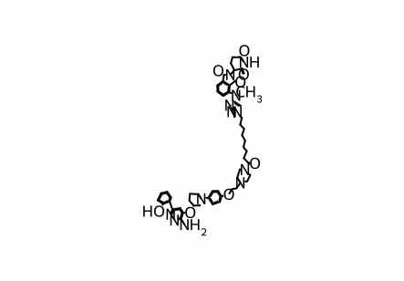 CN(c1cn(CCCCCCCCC(=O)N2CCN(CCOc3ccc(N4CCCC(Oc5cc(-c6ccccc6O)nnc5N)C4)cc3)CC2)nn1)c1cccc2c1C(=O)N(C1CCC(=O)NC1=O)C2=O